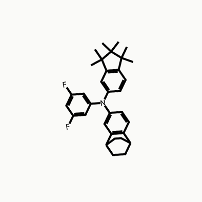 CC1(C)c2ccc(N(c3cc(F)cc(F)c3)c3ccc4c(c3)C3CCC4CC3)cc2C(C)(C)C1(C)C